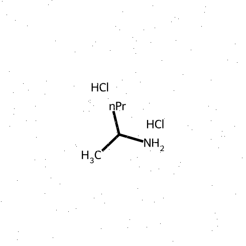 CCCC(C)N.Cl.Cl